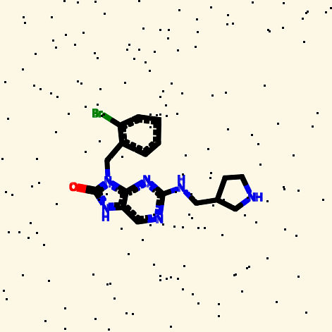 O=c1[nH]c2cnc(NCC3CCNC3)nc2n1Cc1ccccc1Br